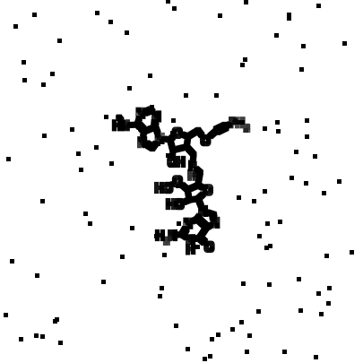 CNc1ncnc2c1ncn2C1OC(COC#CP)C(CPCC2OC(n3cnc4c(=O)[nH]c(N)nc43)C(O)C2OO)C1O